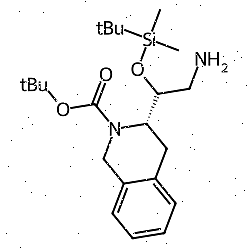 CC(C)(C)OC(=O)N1Cc2ccccc2C[C@H]1C(CN)O[Si](C)(C)C(C)(C)C